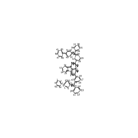 c1ccc(-c2ccc(N(c3ccccc3)c3cccc(-c4nc5c6c(nc(-c7cccc(N(c8ccccc8)c8ccc(-c9ccccc9)cc8)c7)nc6n4)-c4ccccc4-5)c3)cc2)cc1